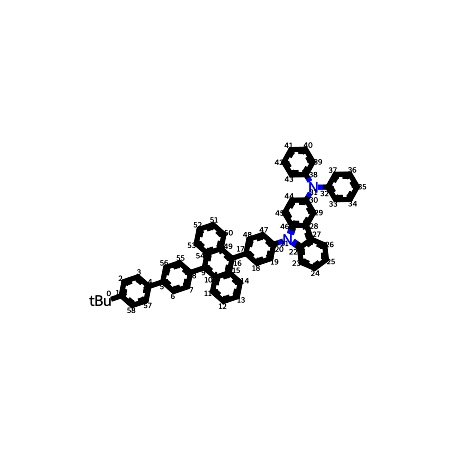 CC(C)(C)c1ccc(-c2ccc(-c3c4ccccc4c(-c4ccc(-n5c6ccccc6c6cc(N(c7ccccc7)c7ccccc7)ccc65)cc4)c4ccccc34)cc2)cc1